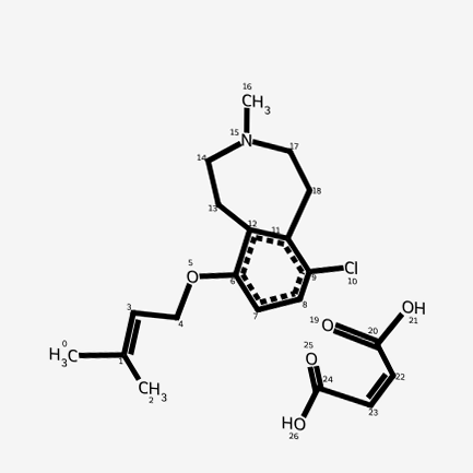 CC(C)=CCOc1ccc(Cl)c2c1CCN(C)CC2.O=C(O)/C=C\C(=O)O